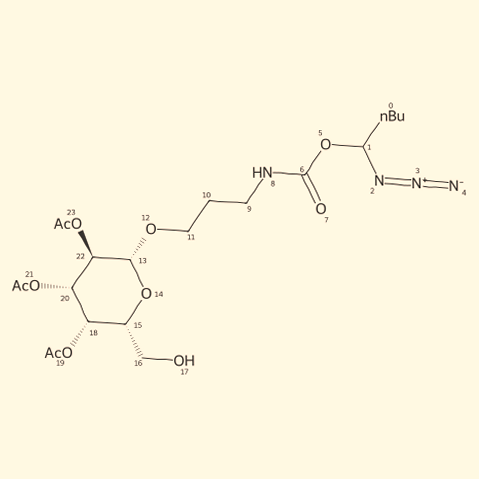 CCCCC(N=[N+]=[N-])OC(=O)NCCCO[C@@H]1O[C@H](CO)[C@H](OC(C)=O)[C@H](OC(C)=O)[C@H]1OC(C)=O